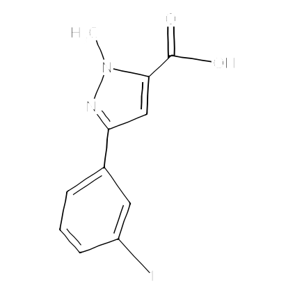 Cn1nc(-c2cccc(I)c2)cc1C(=O)O